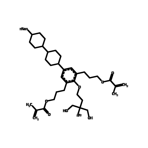 C=C(C)C(=O)OCCCc1cc(C2CCC(C3CCC(CCCCCCCCC)CC3)CC2)cc(CCCOC(=O)C(=C)C)c1OCCC(CO)(CO)CCC